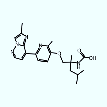 Cc1cn2nccc(-c3ccc(OCC(C)(CC(C)C)NC(=O)O)c(C)n3)c2n1